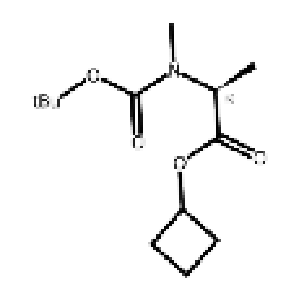 C[C@@H](C(=O)OC1CCC1)N(C)C(=O)OC(C)(C)C